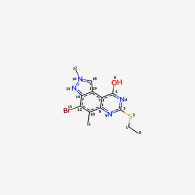 CCSc1nc(O)c2c(n1)c(C)c(Br)c1nn(C)cc12